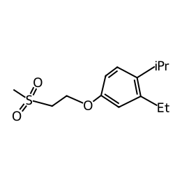 CCc1cc(OCCS(C)(=O)=O)ccc1C(C)C